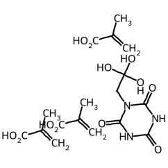 C=C(C)C(=O)O.C=C(C)C(=O)O.C=C(C)C(=O)O.O=c1[nH]c(=O)n(CC(O)(O)O)c(=O)[nH]1